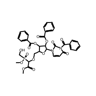 COC(=O)C(OCC1OC(n2ccc(=O)n(C(=O)c3ccccc3)c2=O)C(OC(=O)c2ccccc2)C1OC(=O)c1ccccc1)P(=O)(CO)OC